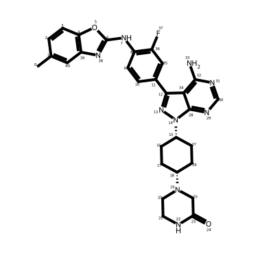 Cc1ccc2oc(Nc3ccc(-c4nn([C@H]5CC[C@@H](N6CCNC(=O)C6)CC5)c5ncnc(N)c45)cc3F)nc2c1